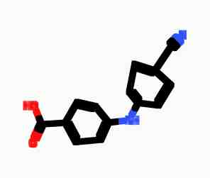 N#Cc1ccc(Nc2ccc(C(=O)O)cc2)cc1